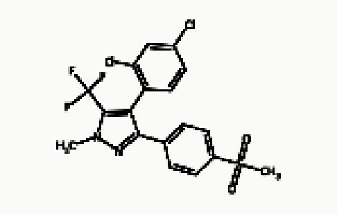 Cn1nc(-c2ccc(S(C)(=O)=O)cc2)c(-c2ccc(Cl)cc2Cl)c1C(F)(F)F